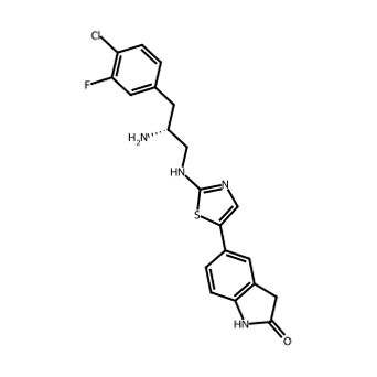 N[C@@H](CNc1ncc(-c2ccc3c(c2)CC(=O)N3)s1)Cc1ccc(Cl)c(F)c1